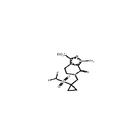 CCOC(=O)c1nn(C)c2c1CCN(CC1(S(=O)(=O)C(F)F)CC1)C2=O